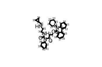 O=C(CCOC(=O)N(c1ccccc1-c1ccccc1)N1CC[CH]CC1)N(C(=O)NCCNCC1CC1)c1ccccc1